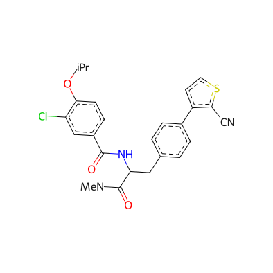 CNC(=O)C(Cc1ccc(-c2ccsc2C#N)cc1)NC(=O)c1ccc(OC(C)C)c(Cl)c1